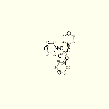 O=P(ON1CCOCC1)(ON1CCOCC1)ON1CCOCC1